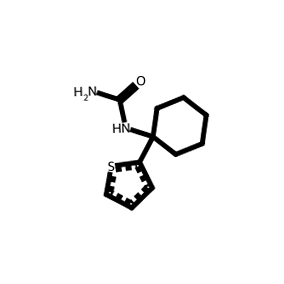 NC(=O)NC1(c2cccs2)CCCCC1